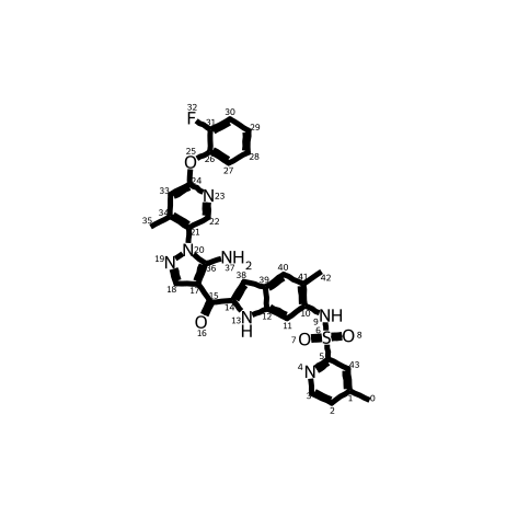 Cc1ccnc(S(=O)(=O)Nc2cc3[nH]c(C(=O)c4cnn(-c5cnc(Oc6ccccc6F)cc5C)c4N)cc3cc2C)c1